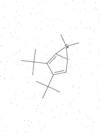 CC(C)(C)C1=C[C]2C(=C1C(C)(C)C)[Si]2(C)C